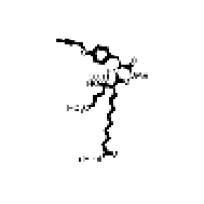 CC#CCOc1ccc(C[C@H](NC(=O)[C@@H](C=CCCCCCCC(=O)CCCCCCC)[C@@](O)(CCCC(=O)O)C(=O)O)C(=O)OC)cc1